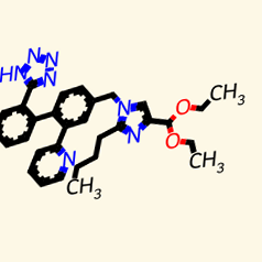 CCCCc1nc(C(OCC)OCC)cn1Cc1ccc(-c2ccccc2-c2nnn[nH]2)c(-c2ccccn2)c1